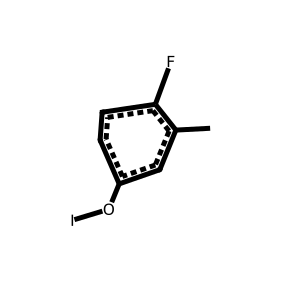 Cc1cc(OI)ccc1F